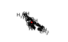 CC(C)c1ccccc1[C@@H]1COCCN1C1CC2(CCN(c3ccc(C(=O)NS(=O)(=O)c4ccc(NCC5CCC(C)(O)CC5)c([N+](=O)[O-])c4)c(N4C[C@@H]5CCOC[C@H]5Oc5nc6[nH]ccc6cc54)c3)CC2)C1